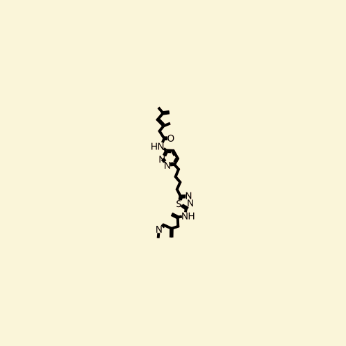 C=C(C)/C=C(\C)CC(=O)Nc1ccc(CCCCc2nnc(NC(=C)CC(=C)/C=N\C)s2)nn1